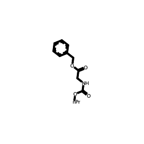 CCCOC(=O)NCC(=O)OCc1ccccc1